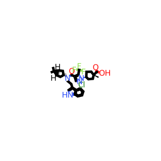 CC1(C)[C@@H]2C[C@H](N(CCc3c[nH]c4cccc(Cl)c34)C(=O)c3cnn([C@H]4CC[C@](C)(C(=O)O)CC4)c3C(F)(F)F)C[C@@H]21